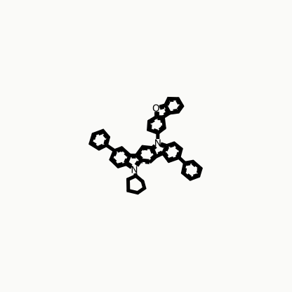 c1ccc(-c2ccc3c(c2)c2cc4c(cc2n3-c2ccc3oc5ccccc5c3c2)c2cc(-c3ccccc3)ccc2n4C2CCCCC2)cc1